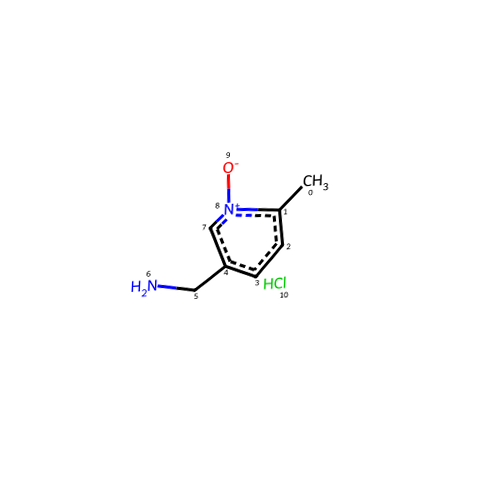 Cc1ccc(CN)c[n+]1[O-].Cl